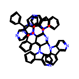 c1ccc(-c2nc(-c3ccccc3)nc(-c3ccccc3-c3c(-n4c5ccccc5c5cnccc54)c(-n4c5ccccc5c5cnccc54)nc(-n4c5ccccc5c5cnccc54)c3-n3c4ccccc4c4cnccc43)n2)cc1